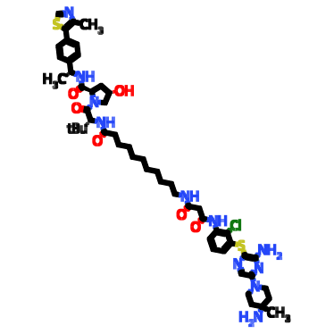 Cc1ncsc1-c1ccc([C@@H](C)NC(=O)[C@H]2C[C@H](O)CN2C(=O)[C@H](NC(=O)CCCCCCCCCCNC(=O)CC(=O)Nc2cccc(Sc3ncc(N4CCC(C)(N)CC4)nc3N)c2Cl)C(C)(C)C)cc1